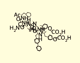 CC(=O)[C@H](CC1CCCCC1)NC(=O)[C@H](CCN)NC(=O)[C@@H](CC(C)C)NC(=O)[C@H](C)N(C)C(=O)[C@H](Cc1ccc(OCC(=O)O)cc1)NC(=O)[C@H](Cc1ccc(-c2ccccc2)cc1)NC(=O)[C@@H](C)Cc1ccc(OCC(=O)O)cc1